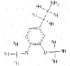 [2H]C([2H])([2H])Oc1ccc(C([2H])([2H])C([2H])([2H])N)cc1OC([2H])([2H])[2H]